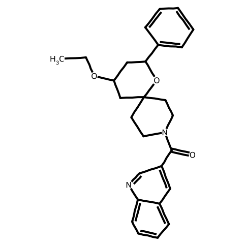 CCOC1CC(c2ccccc2)OC2(CCN(C(=O)c3cnc4ccccc4c3)CC2)C1